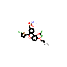 C=CCOc1ccc2c(c1OC(F)F)-c1ccc(CS(N)(=O)=O)cc1C(c1ccc(Br)s1)O2